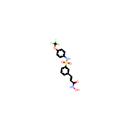 O=C(/C=C/c1cccc(S(=O)(=O)Nc2ccc(OC(F)(F)F)cc2)c1)NO